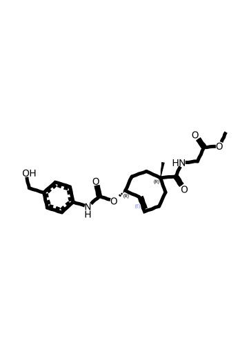 COC(=O)CNC(=O)[C@]1(C)CC/C=C/[C@H](OC(=O)Nc2ccc(CO)cc2)CC1